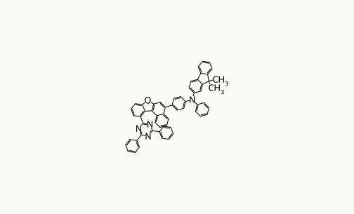 CC1(C)c2ccccc2-c2ccc(N(c3ccccc3)c3ccc(-c4cc5oc6cccc(-c7nc(-c8ccccc8)nc(-c8ccccc8)n7)c6c5c5ccccc45)cc3)cc21